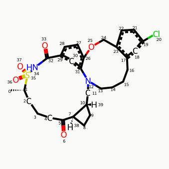 C[C@H]1CCCC(=O)[C@@H]2CC[C@H]2CN2CCCCc3cc(Cl)ccc3COc3ccc(cc32)C(=O)NS1(=O)=O